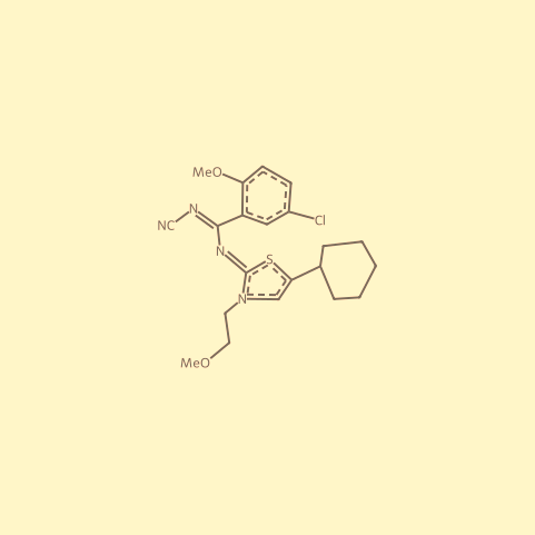 COCCn1cc(C2CCCCC2)s/c1=N\C(=N/C#N)c1cc(Cl)ccc1OC